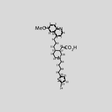 COc1ccc2nccc(CCC[C@@H]3CCN(CCCCc4ccc(C)s4)C[C@@H]3CC(=O)O)c2c1